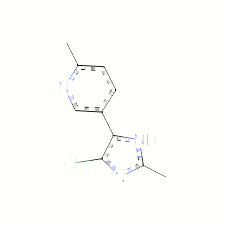 Cc1ccc(-c2[nH]c(C)nc2Cl)cn1